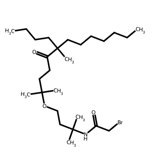 CCCCCCCC(C)(CCCC)C(=O)CCC(C)(C)OCCC(C)(C)NC(=O)CBr